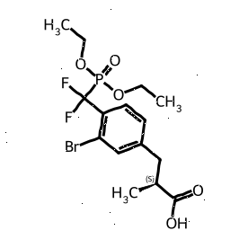 CCOP(=O)(OCC)C(F)(F)c1ccc(C[C@H](C)C(=O)O)cc1Br